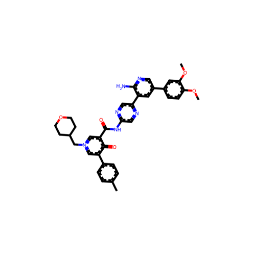 COc1ccc(-c2cnc(N)c(-c3cnc(NC(=O)c4cn(CC5CCOCC5)cc(-c5ccc(C)cc5)c4=O)cn3)c2)cc1OC